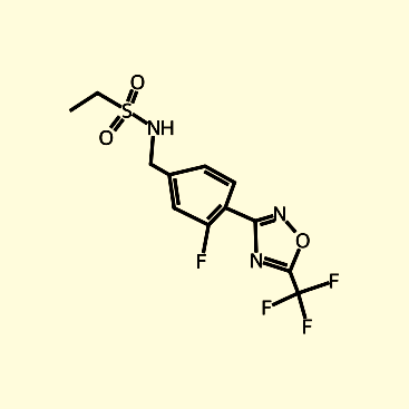 CCS(=O)(=O)NCc1ccc(-c2noc(C(F)(F)F)n2)c(F)c1